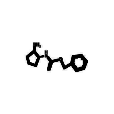 NC1CCC[C@H]1NC(=O)OCc1ccccc1